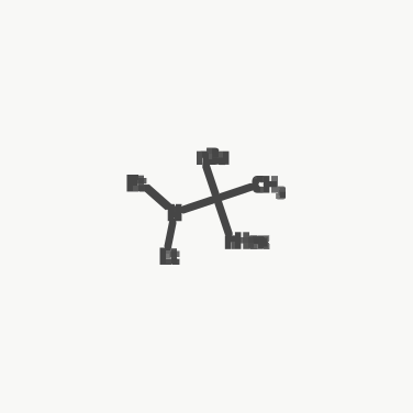 CCCCCCC(C)(CCCC)N(CC)CC